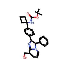 CC(C)(C)OC(=O)NC1(c2ccc(C3N=C4C(CO)=CC=CN4C3c3ccccc3)cc2)CCC1